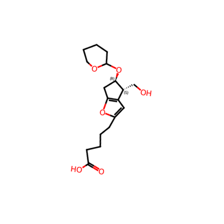 O=C(O)CCCCc1cc2c(o1)C[C@@H](OC1CCCCO1)[C@@H]2CO